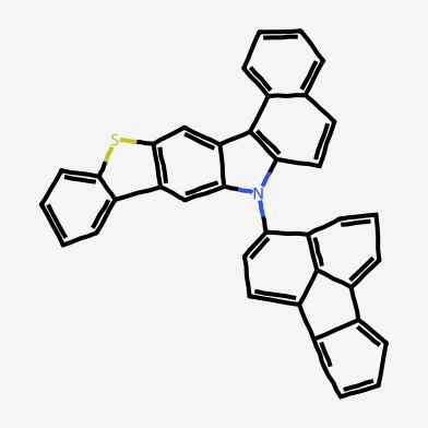 c1ccc2c(c1)-c1cccc3c(-n4c5cc6c(cc5c5c7ccccc7ccc54)sc4ccccc46)ccc-2c13